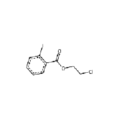 O=C(OCCCl)c1ccccc1I